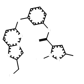 Cc1cc(C(=O)Nc2cccc(Oc3ccc4nc(CO)cn4n3)c2)n(C)n1